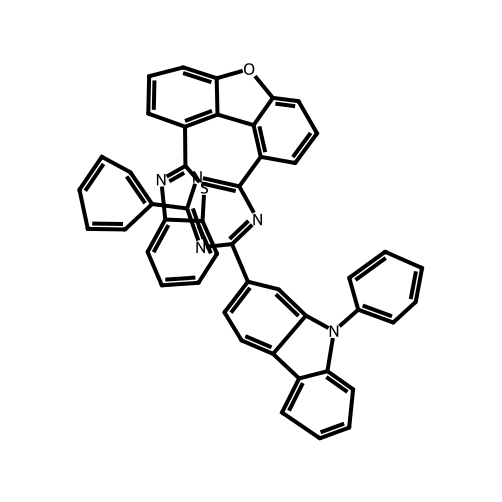 c1ccc(-c2nc(-c3ccc4c5ccccc5n(-c5ccccc5)c4c3)nc(-c3cccc4oc5cccc(-c6nc7ccccc7s6)c5c34)n2)cc1